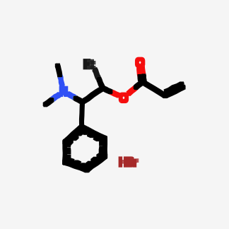 Br.C=CC(=O)OC(CC)C(c1ccccc1)N(C)C